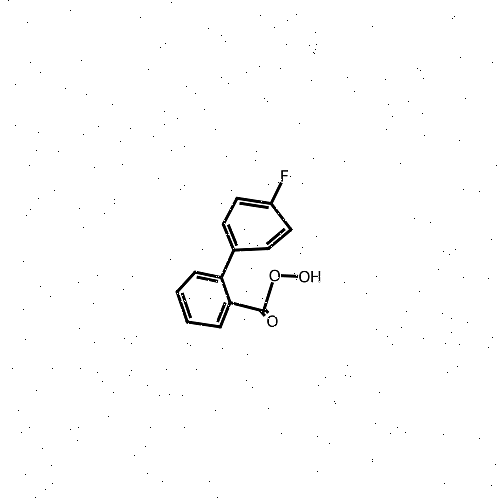 O=C(OO)c1ccccc1-c1ccc(F)cc1